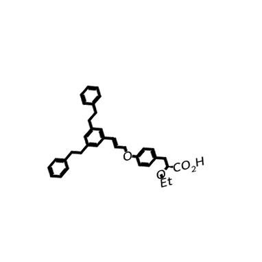 CCO[C@@H](Cc1ccc(OCC=Cc2cc(CCc3ccccc3)cc(CCc3ccccc3)c2)cc1)C(=O)O